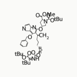 C=C(CCC[C@@H]1C[C@H]1OC(=O)N[C@H](C(=O)OC(C)(C)C)C(C)(C)C)c1c(OC2CC(C(=O)OC)N(C(=O)OC(C)(C)C)C2)nc2ccncc2c1OCc1ccccc1